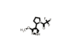 COc1n[nH]cc1C1CCCN1C(=O)C(F)(F)F